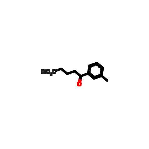 CCOC(=O)CCCC(=O)c1cccc(C)c1